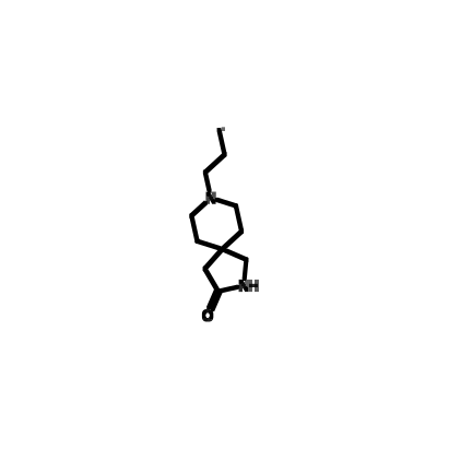 [CH2]CCN1CCC2(CC1)CNC(=O)C2